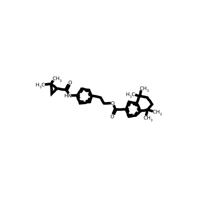 CC1(C)CCC(C)(C)c2cc(C(=O)OCCc3ccc(NC(=O)C4CC4(C)C)cc3)ccc21